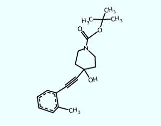 Cc1ccccc1C#CC1(O)CCN(C(=O)OC(C)(C)C)CC1